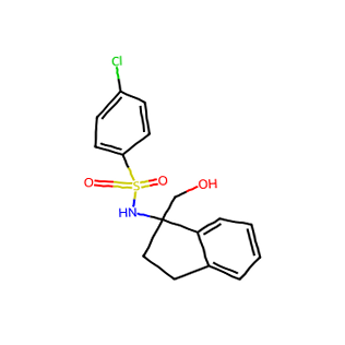 O=S(=O)(NC1(CO)CCc2ccccc21)c1ccc(Cl)cc1